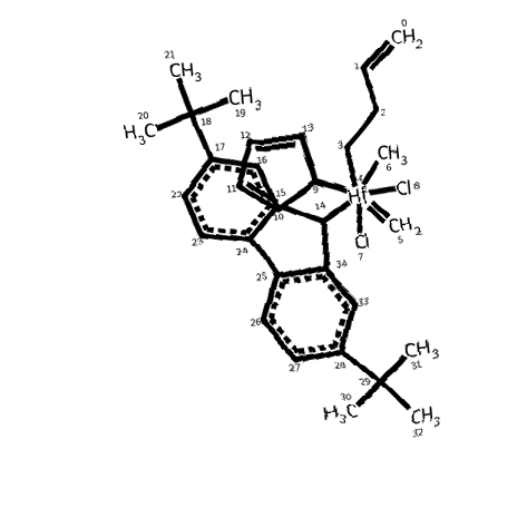 C=CC[CH2][Hf](=[CH2])([CH3])([Cl])([Cl])([CH]1C=CC=C1)[CH]1c2cc(C(C)(C)C)ccc2-c2ccc(C(C)(C)C)cc21